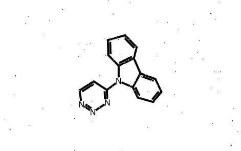 [c]1cccc2c3ccccc3n(-c3ccnnn3)c12